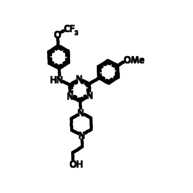 COc1ccc(-c2nc(Nc3ccc(OC(F)(F)F)cc3)nc(N3CCN(CCO)CC3)n2)cc1